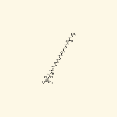 COCC(=O)NCCOCCOCCOCCOCCOCC(F)CNC(=O)C(C)C